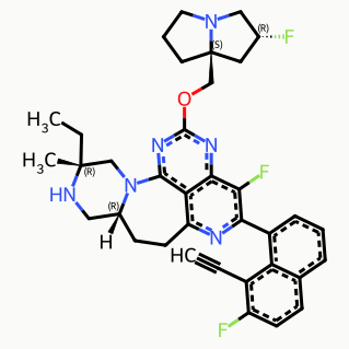 C#Cc1c(F)ccc2cccc(-c3nc4c5c(nc(OC[C@@]67CCCN6C[C@H](F)C7)nc5c3F)N3C[C@@](C)(CC)NC[C@H]3CC4)c12